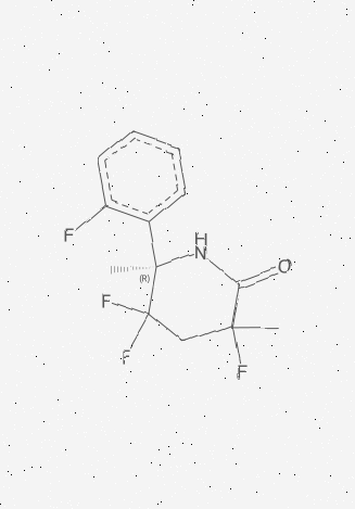 CC1(F)CC(F)(F)[C@@](C)(c2ccccc2F)NC1=O